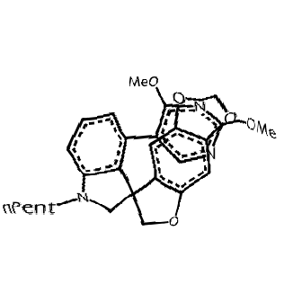 CCCCCN1CC2(COc3cc4c(cc32)OCO4)c2c(-c3cnc(OC)nc3OC)cccc21